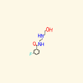 O=C(NCCNCCO)c1cccc(F)c1